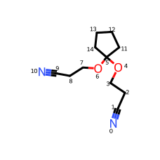 N#CCCOC1(OCCC#N)CCCC1